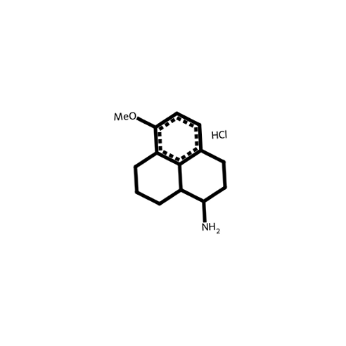 COc1ccc2c3c1CCCC3C(N)CC2.Cl